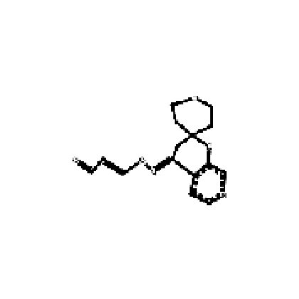 O=C/C=C/O/N=C1\CC2(CCOCC2)Oc2cnccc21